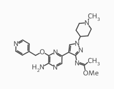 CO/C(C)=N/c1nn(C2CCN(C)CC2)cc1-c1cnc(N)c(OCc2ccncc2)n1